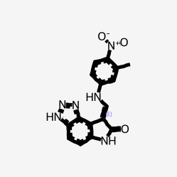 Cc1cc(N/C=C2/C(=O)Nc3ccc4[nH]nnc4c32)ccc1[N+](=O)[O-]